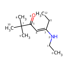 CCNC(=CC(=O)C(C)(C)C)CC